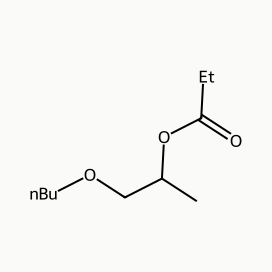 CCCCOCC(C)OC(=O)CC